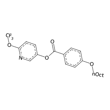 CCCCCCCCOc1ccc(C(=O)Oc2ccc(OC(F)(F)F)nc2)cc1